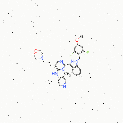 CCOc1cc(F)c(Cn2nc(-c3ncc(CCCN4CCOCC4)c(Nc4ccncc4C(F)(F)F)n3)c3ccccc32)c(F)c1